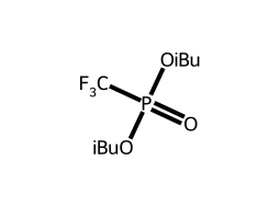 CC(C)COP(=O)(OCC(C)C)C(F)(F)F